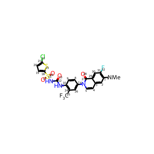 CNc1cc2ccn(-c3ccc(NC(=O)NS(=O)(=O)c4ccc(Cl)s4)c(C(F)(F)F)c3)c(=O)c2cc1F